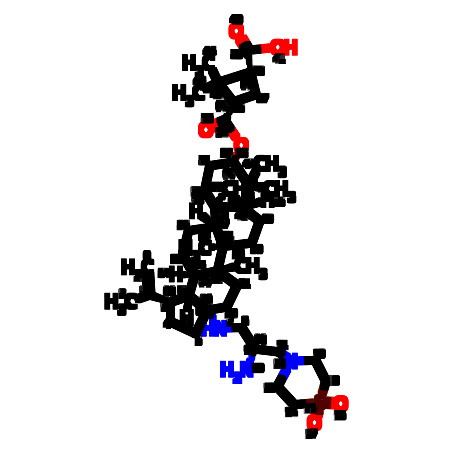 C=C(C)[C@@H]1CC[C@]2(NC[C@@H](N)CN3CCS(=O)(=O)CC3)CC[C@]3(C)[C@H](CC[C@@H]4[C@@]5(C)CC[C@H](OC(=O)[C@H]6C[C@@H](C(=O)O)C6(C)C)C(C)(C)[C@@H]5CC[C@]43C)[C@@H]12